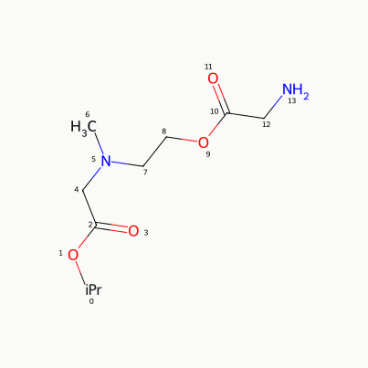 CC(C)OC(=O)CN(C)CCOC(=O)CN